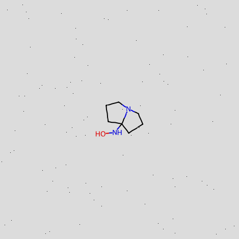 ONC12CCCN1CCC2